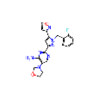 Nc1nc(-c2cc(-c3ccon3)n(Cc3ccccc3F)n2)ncc1N1CCOC1